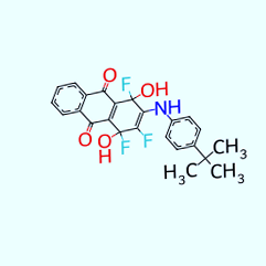 CC(C)(C)c1ccc(NC2=C(F)C(O)(F)C3=C(C(=O)c4ccccc4C3=O)C2(O)F)cc1